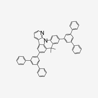 CC1(C)c2cc(-c3cc(-c4ccccc4)cc(-c4ccccc4)c3)ccc2-n2c3ncccc3c3cc(-c4cc(-c5ccccc5)cc(-c5ccccc5)c4)cc1c32